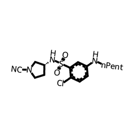 CCCCCNc1ccc(Cl)c(S(=O)(=O)N[C@@H]2CCN(C#N)C2)c1